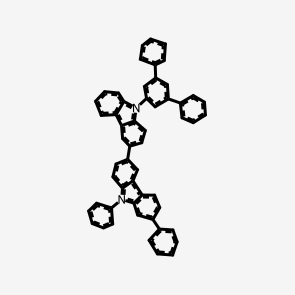 c1ccc(-c2cc(-c3ccccc3)cc(-n3c4ccccc4c4cc(-c5ccc6c(c5)c5ccc(-c7ccccc7)cc5n6-c5ccccc5)ccc43)c2)cc1